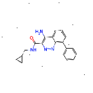 Nc1c(C(=O)NCC2CC2)nnc2c(-c3ccccc3)cccc12